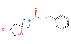 O=C1COC2(C1)CN(C(=O)OCc1ccccc1)C2